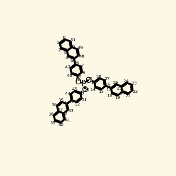 c1ccc2cc(-c3ccc(OP(Oc4ccc(-c5ccc6ccccc6c5)cc4)Oc4ccc(-c5ccc6ccccc6c5)cc4)cc3)ccc2c1